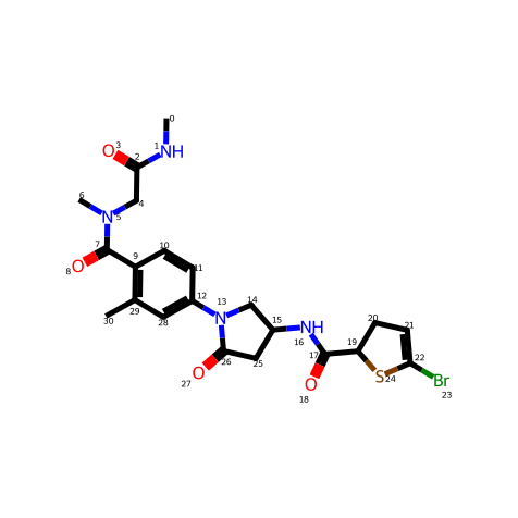 CNC(=O)CN(C)C(=O)c1ccc(N2CC(NC(=O)C3CC=C(Br)S3)CC2=O)cc1C